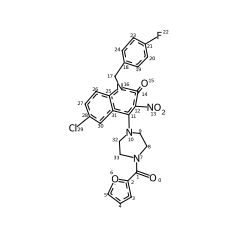 O=C(c1ccco1)N1CCN(c2c([N+](=O)[O-])c(=O)n(Cc3ccc(F)cc3)c3ccc(Cl)cc23)CC1